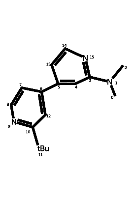 CN(C)c1cc(-c2ccnc(C(C)(C)C)c2)ccn1